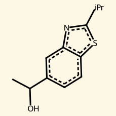 CC(C)c1nc2cc(C(C)O)ccc2s1